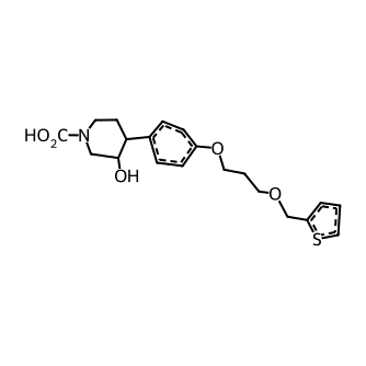 O=C(O)N1CCC(c2ccc(OCCCOCc3cccs3)cc2)C(O)C1